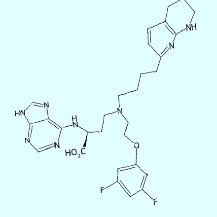 O=C(O)[C@H](CCN(CCCCc1ccc2c(n1)NCCC2)CCOc1cc(F)cc(F)c1)Nc1ncnc2[nH]cnc12